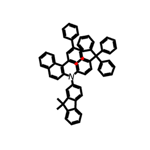 CC1(C)c2ccccc2-c2ccc(N(c3ccc(C(c4ccccc4)(c4ccccc4)c4ccccc4)cc3)c3ccc4ccccc4c3-c3cccc(-c4ccccc4)c3)cc21